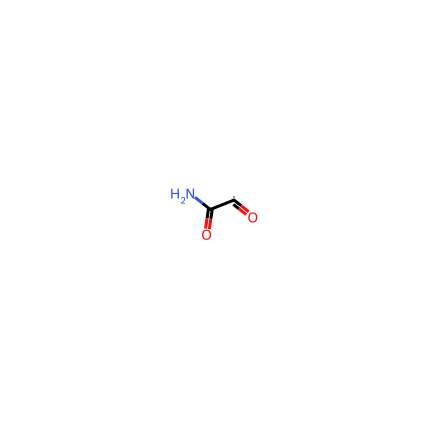 NC(=O)[C]=O